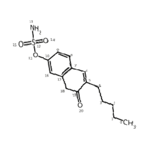 CCCCCC1=Cc2ccc(OS(N)(=O)=O)cc2CC1=O